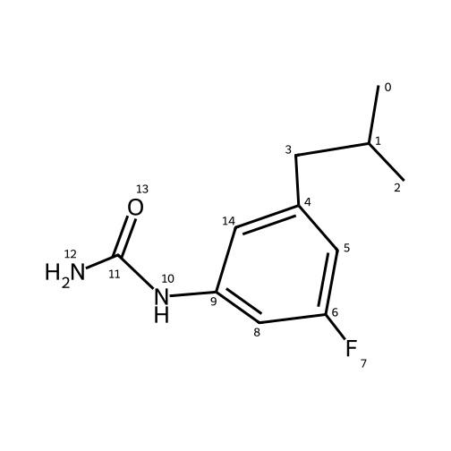 CC(C)Cc1cc(F)cc(NC(N)=O)c1